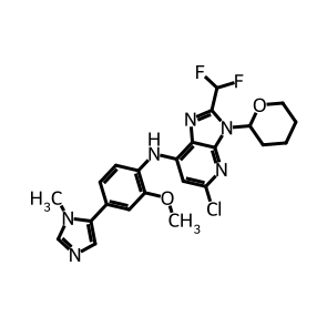 COc1cc(-c2cncn2C)ccc1Nc1cc(Cl)nc2c1nc(C(F)F)n2C1CCCCO1